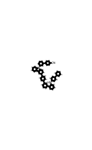 N#Cc1ccc(-c2cccc(-n3c4ccccc4c4cc(-c5ccc(-c6cccc(-c7ccccc7Nc7ccc(-c8ccccc8)cc7)c6)cc5)ccc43)c2)cc1